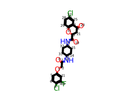 O=C(COc1ccc(Cl)c(F)c1)NC1CCC(NC(=O)C2CC(=O)c3cc(Cl)ccc3O2)CC1